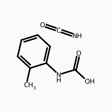 Cc1ccccc1NC(=O)O.N=C=O